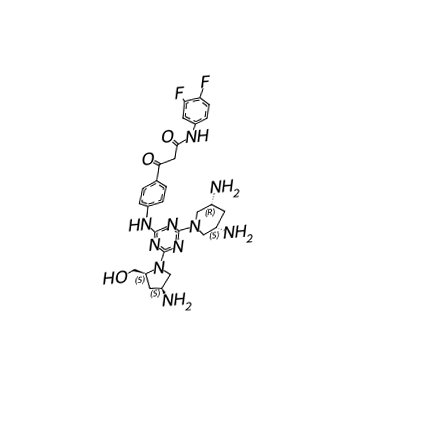 N[C@@H]1C[C@H](N)CN(c2nc(Nc3ccc(C(=O)CC(=O)Nc4ccc(F)c(F)c4)cc3)nc(N3C[C@@H](N)C[C@H]3CO)n2)C1